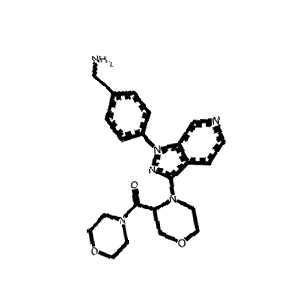 NCc1ccc(-n2nc(N3CCOCC3C(=O)N3CCOCC3)c3ccncc32)cc1